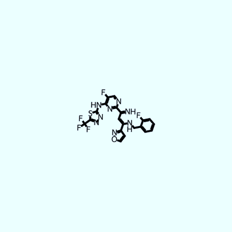 N=C(/C=C(\NCc1ccccc1F)c1ccon1)c1ncc(F)c(Nc2nnc(C(F)(F)F)s2)n1